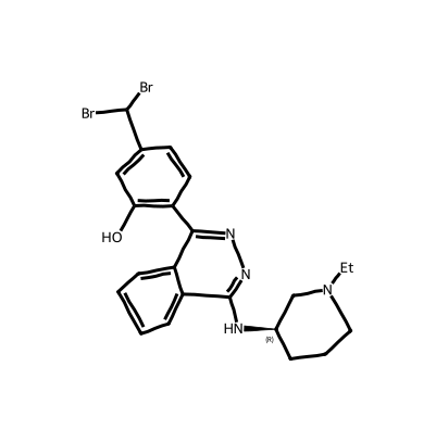 CCN1CCC[C@@H](Nc2nnc(-c3ccc(C(Br)Br)cc3O)c3ccccc23)C1